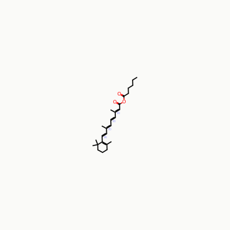 CCCCCC(=O)OC(=O)/C=C(C)/C=C/C=C(C)/C=C/C1=C(C)CCCC1(C)C